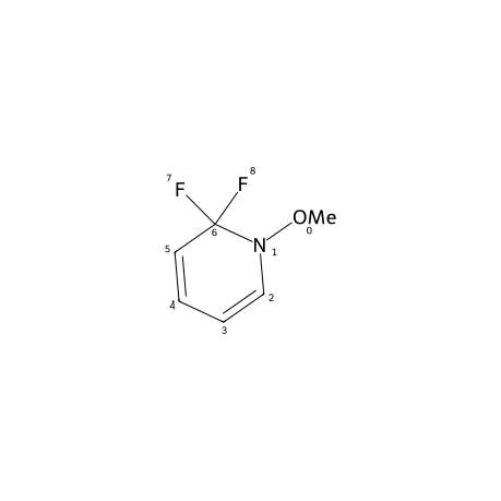 CON1C=C[C]=CC1(F)F